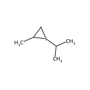 CC(C)I1CC1C